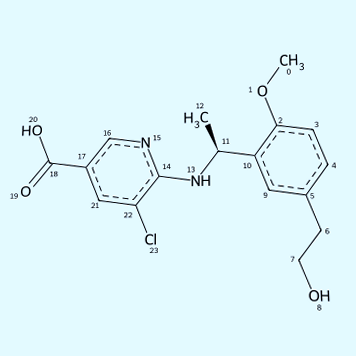 COc1ccc(CCO)cc1[C@H](C)Nc1ncc(C(=O)O)cc1Cl